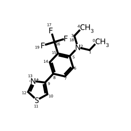 CCN(CC)c1ccc(C2=CSC=[N+]2)cc1C(F)(F)F